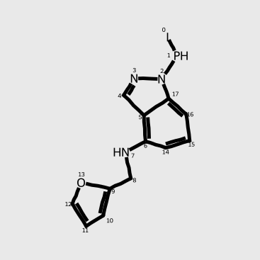 IPn1ncc2c(NCc3ccco3)cccc21